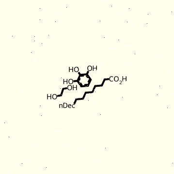 CCCCCCCCCCCCCCCCCC(=O)O.OCCO.Oc1cccc(O)c1O